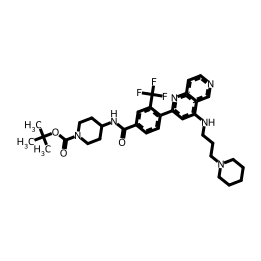 CC(C)(C)OC(=O)N1CCC(NC(=O)c2ccc(-c3cc(NCCCN4CCCCC4)c4cnccc4n3)c(C(F)(F)F)c2)CC1